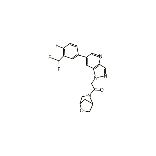 O=C(Cn1ncc2ncc(-c3ccc(F)c(C(F)F)c3)cc21)N1CC2CC1CO2